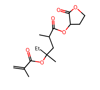 C=C(C)C(=O)OC(C)(CC)CC(C)C(=O)OC1CCOC1=O